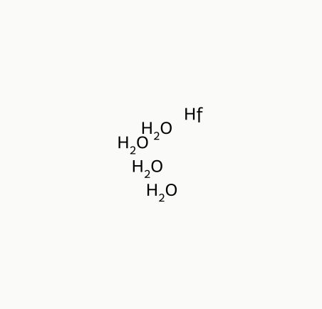 O.O.O.O.[Hf]